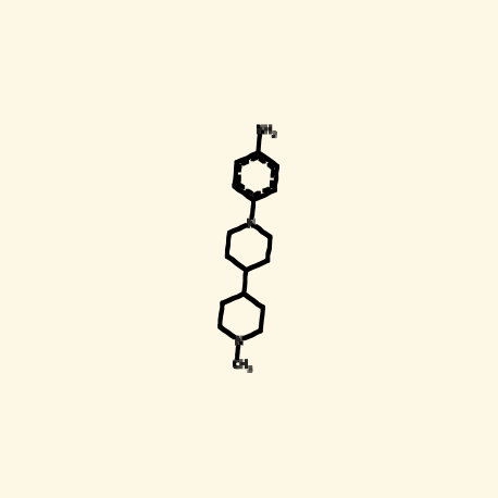 CN1CCC(C2CCN(c3ccc(N)cc3)CC2)CC1